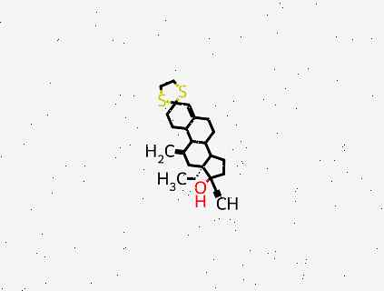 C#CC1(O)CCC2C3CCC4=CC5(CCC4C3C(=C)C[C@@]21CC)SCCS5